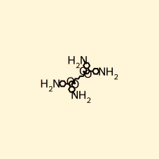 NC1CCC(C(OC(=O)CCCCC(=O)OC(C2CCC(N)CC2)C2CCC(N)CC2)C2CCC(N)CC2)CC1